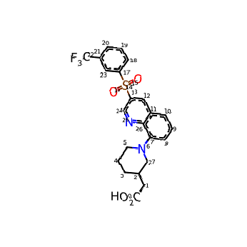 O=C(O)CC1CCCN(c2cccc3cc(S(=O)(=O)c4cccc(C(F)(F)F)c4)cnc23)C1